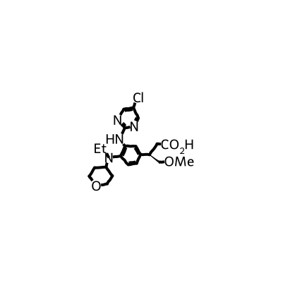 CCN(c1ccc([C@H](COC)CC(=O)O)cc1Nc1ncc(Cl)cn1)C1CCOCC1